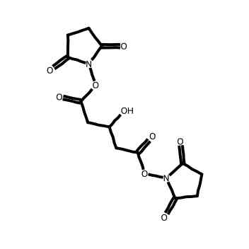 O=C(CC(O)CC(=O)ON1C(=O)CCC1=O)ON1C(=O)CCC1=O